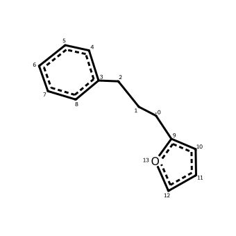 [CH](CCc1ccccc1)c1ccco1